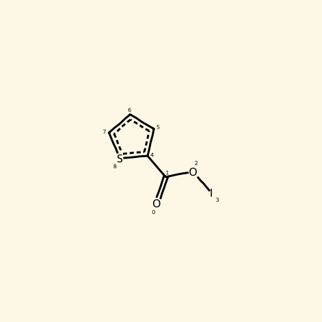 O=C(OI)c1cccs1